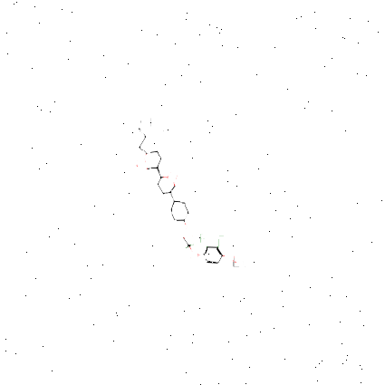 C=CCCC1CCC(C2CCC(C3CCC(OCC(F)(F)Oc4ccc(OCC)c(F)c4F)CC3)CO2)CO1